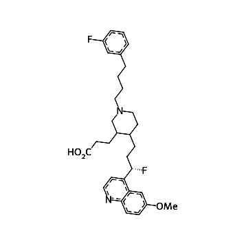 COc1ccc2nccc([C@@H](F)CCC3CCN(CCCCc4cccc(F)c4)CC3CCC(=O)O)c2c1